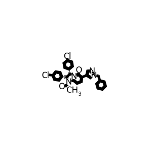 CC(=O)N1c2ccc(-c3cnn(Cc4ccccc4)c3)c(=O)n2[C@@H](c2ccc(Cl)cc2)[C@H]1c1ccc(Cl)cc1